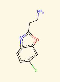 NCCc1nc2ccc(Cl)cc2o1